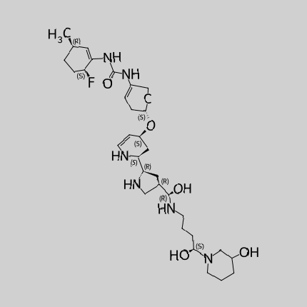 C[C@H]1C=C(NC(=O)NC2=CC[C@@H](O[C@@H]3C=CN[C@H]([C@H]4C[C@@H]([C@@H](O)NCCC[C@H](O)N5CCCC(O)C5)CN4)C3)CC2)[C@@H](F)CC1